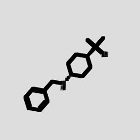 CCC(C)(C)[C@H]1CC[C@H](NCc2ccccc2)CC1